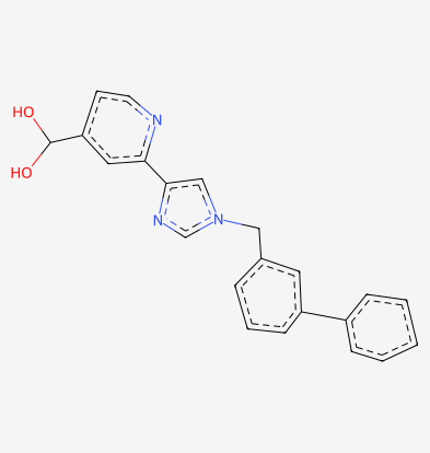 OC(O)c1ccnc(-c2cn(Cc3cccc(-c4ccccc4)c3)cn2)c1